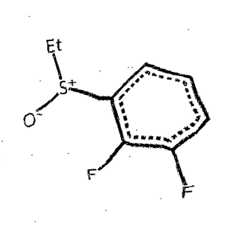 CC[S+]([O-])c1cccc(F)c1F